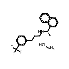 C[C@@H](NCCCc1cccc(C(F)(F)F)c1)c1cccc2ccccc12.Cl.[AsH3]